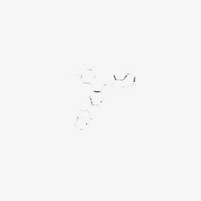 CC1CN(c2cc(N3CC4CCC(C3)O4)nnc2CNC(=O)c2ccn[nH]2)CC(C)O1